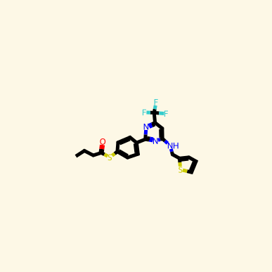 CCCC(=O)Sc1ccc(-c2nc(NCc3cccs3)cc(C(F)(F)F)n2)cc1